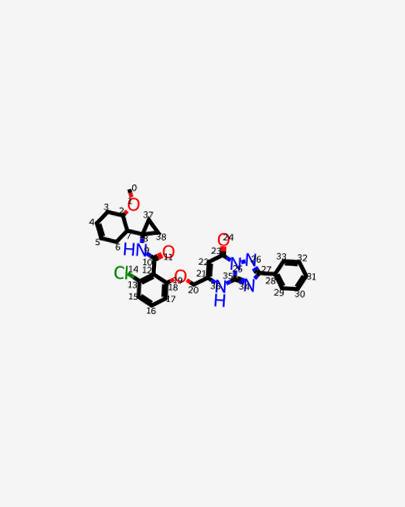 COC1CC=CCC1C1(NC(=O)c2c(Cl)cccc2OCc2cc(=O)n3nc(-c4ccccc4)nc3[nH]2)CC1